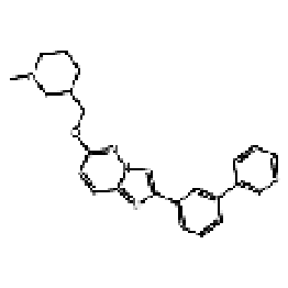 CN1CCCC(COc2ccc3nc(-c4cccc(-c5ccccc5)c4)cn3n2)C1